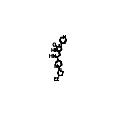 CC[C@H]1CCN(c2ccc(C(=N)/C=C3/CN(c4ccncc4)C(=O)N3)cn2)C1